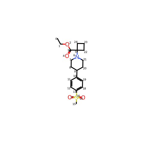 CCOC(=O)C1(N2CCC(c3ccc(S(C)(=O)=O)cc3)CC2)CCC1